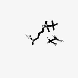 CN(N)CCCO[Si](C)(C)C(C)(C)C.O=C(O)C(F)(F)F